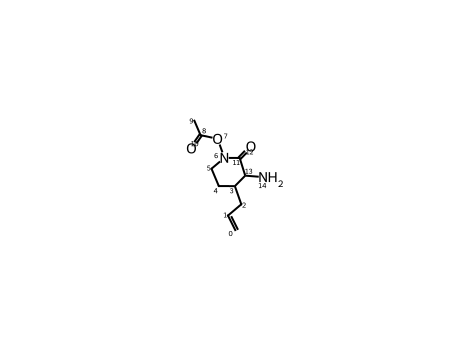 C=CCC1CCN(OC(C)=O)C(=O)C1N